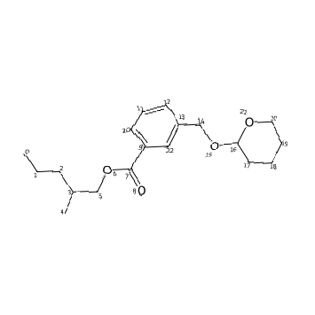 CCCC(C)COC(=O)c1cccc(COC2CCCCO2)c1